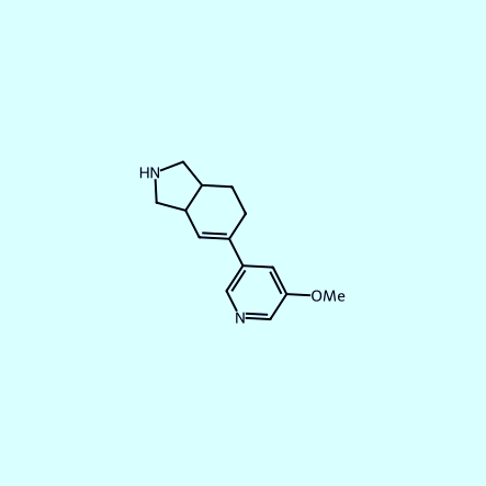 COc1cncc(C2=CC3CNCC3CC2)c1